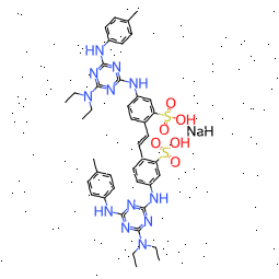 CCN(CC)c1nc(Nc2ccc(C)cc2)nc(Nc2ccc(C=Cc3ccc(Nc4nc(Nc5ccc(C)cc5)nc(N(CC)CC)n4)cc3S(=O)(=O)O)c(S(=O)(=O)O)c2)n1.[NaH]